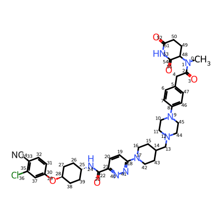 CN(C(=O)Cc1ccc(N2CCN(CC3CCN(c4ccc(C(=O)N[C@H]5CC[C@H](Oc6ccc(C#N)c(Cl)c6)CC5)nn4)CC3)CC2)cc1)C1CCC(=O)NC1=O